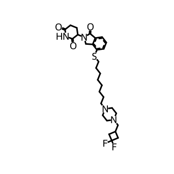 O=C1CCC(N2Cc3c(SCCCCCCCCN4CCN(CC5CC(F)(F)C5)CC4)cccc3C2=O)C(=O)N1